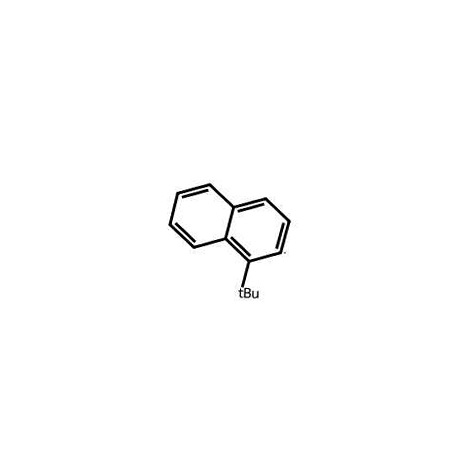 CC(C)(C)c1[c]ccc2ccccc12